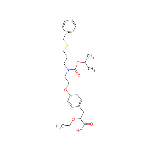 CCOC(Cc1ccc(OCCN(CCCSCc2ccccc2)C(=O)OC(C)C)cc1)C(=O)O